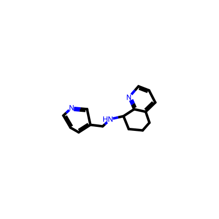 c1cncc(CNC2CCCc3cccnc32)c1